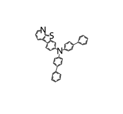 c1ccc(-c2ccc(N(c3ccc(-c4ccccc4)cc3)c3ccc4c(c3)sc3ncccc34)cc2)cc1